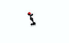 O=C(N[C@@H]1CN(C(=O)O)C[C@@H]1C(=O)NO)c1ccc(Cc2cc(C(F)(F)F)nc3ccccc23)cc1